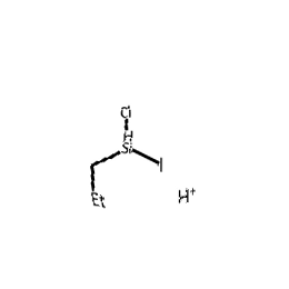 CCC[SiH](Cl)I.[H+]